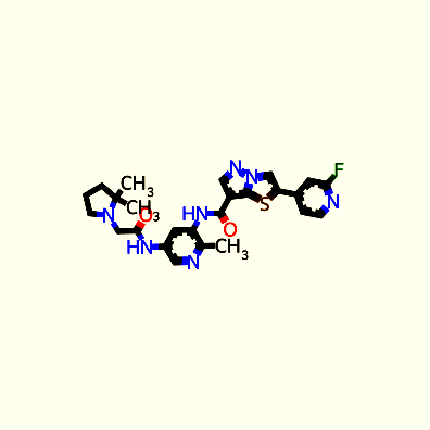 Cc1ncc(NC(=O)CN2CCCC2(C)C)cc1NC(=O)c1cnn2cc(-c3ccnc(F)c3)sc12